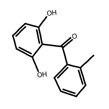 Cc1ccccc1C(=O)c1c(O)cccc1O